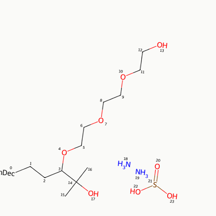 CCCCCCCCCCCCC(OCCOCCOCCO)C(C)(C)O.N.N.O=S(O)O